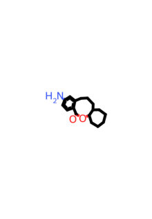 Nc1ccc2c(c1)CCCC1CCCCCC1OC2=O